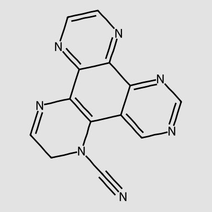 N#CN1CC=Nc2c1c1cncnc1c1nccnc21